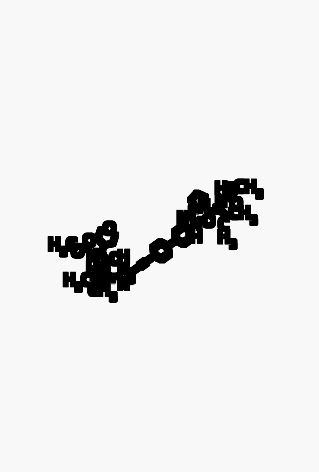 COC(=O)N[C@H](C(=O)N1CCC[C@H]1c1nc2cc(-c3ccc(C#Cc4cnc([C@@H]5C[Si](C)(C)CN5C(=O)[C@@H](NC(=O)OC)C5CCOCC5)[nH]4)cc3)ccc2[nH]1)C(C)C